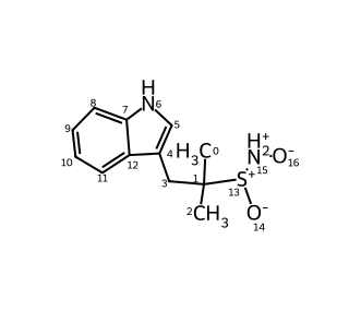 CC(C)(Cc1c[nH]c2ccccc12)[S+]([O-])[NH2+][O-]